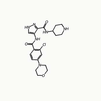 O=C(Nc1c[nH]nc1C(=O)NC1CCNCC1)c1ccc(N2CCOCC2)cc1Cl